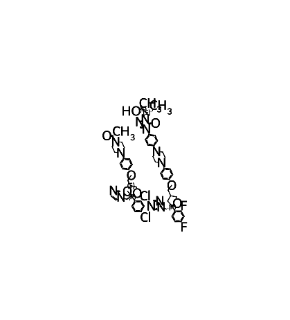 CC(=O)N1CCN(c2ccc(OC[C@H]3CO[C@](Cn4ccnc4)(c4ccc(Cl)cc4Cl)O3)cc2)CC1.CC[C@@H]([C@H](C)O)n1ncn(-c2ccc(N3CCN(c4ccc(OCC5CO[C@@](Cn6cncn6)(c6ccc(F)cc6F)C5)cc4)CC3)cc2)c1=O